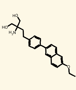 CCOc1ccc2cc(-c3ccc(CCC(N)(CO)CO)cc3)ccc2c1